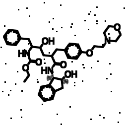 CCOC(=O)NC(Cc1ccccc1)C(O)CC(Cc1ccc(OCCN2CCOCC2)cc1)C(=O)N[C@H]1c2ccccc2C[C@@H]1O